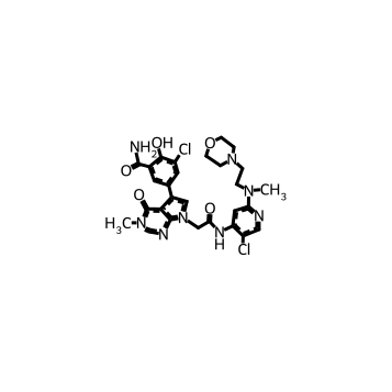 CN(CCN1CCOCC1)c1cc(NC(=O)Cn2cc(-c3cc(Cl)c(O)c(C(N)=O)c3)c3c(=O)n(C)cnc32)c(Cl)cn1